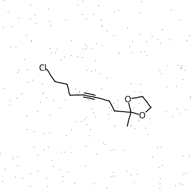 CC1(CCC#CCCCCl)OCCO1